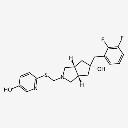 Oc1ccc(SCN2C[C@@H]3C[C@@](O)(Cc4cccc(F)c4F)C[C@@H]3C2)nc1